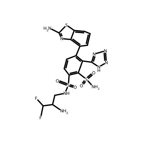 Nc1nc2c(-c3ccc(S(=O)(=O)NCC(N)C(F)F)c(S(N)(=O)=O)c3-c3nnn[nH]3)cccc2s1